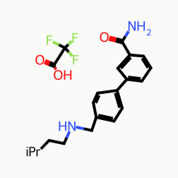 CC(C)CCNCc1ccc(-c2cccc(C(N)=O)c2)cc1.O=C(O)C(F)(F)F